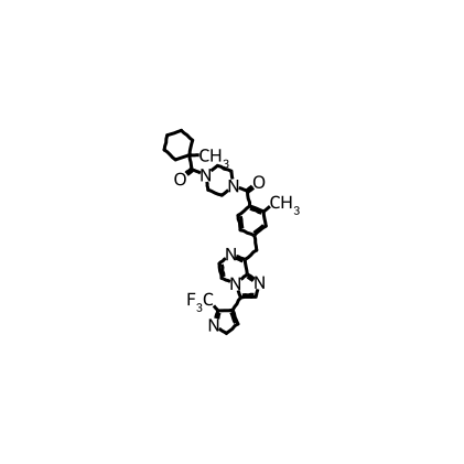 Cc1cc(Cc2nccn3c(C4=CCN=C4C(F)(F)F)cnc23)ccc1C(=O)N1CCN(C(=O)C2(C)CCCCC2)CC1